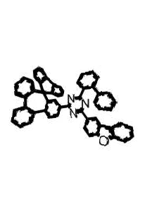 c1ccc(-c2ccccc2-c2nc(-c3ccc4c(c3)C3(c5ccccc5-c5ccccc5-4)c4ccccc4-c4ccccc43)nc(-c3ccc4oc5ccccc5c4c3)n2)cc1